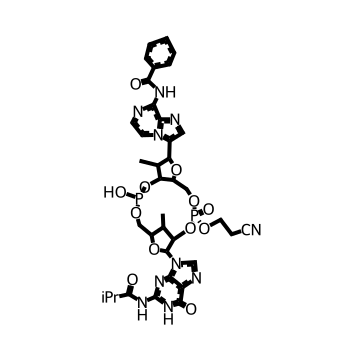 CC(C)C(=O)Nc1nc2c(ncn2C2OC3COP(O)OC4C(COP(=O)(OCCC#N)OC2C3C)OC(c2cnc3c(NC(=O)c5ccccc5)nccn23)C4C)c(=O)[nH]1